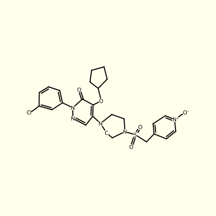 O=c1c(OC2CCCC2)c(N2CCN(S(=O)(=O)Cc3cc[n+]([O-])cc3)CC2)cnn1-c1cccc(Cl)c1